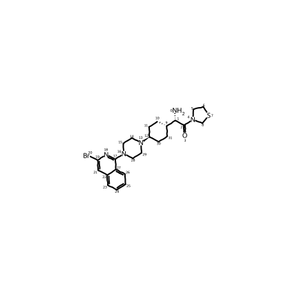 N[C@H](C(=O)N1CCSC1)[C@H]1CC[C@H](N2CCN(c3nc(Br)cc4ccccc34)CC2)CC1